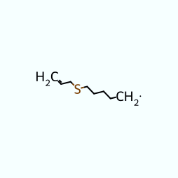 [CH2]CCCCSCC=C